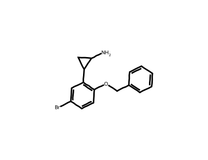 NC1CC1c1cc(Br)ccc1OCc1ccccc1